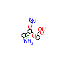 C[C@@H](N)c1cccc(-c2cc(COc3ccccc3CC(=O)O)cc(OCc3cncn3C)c2)c1F